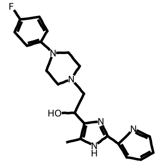 Cc1[nH]c(-c2ccccn2)nc1C(O)CN1CCN(c2ccc(F)cc2)CC1